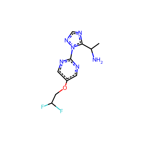 CC(N)c1ncnn1-c1ncc(OCC(F)F)cn1